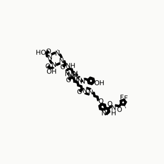 C[C@H]1CC(F)(F)CC1C(=O)CNC(=O)c1ccnc2ccc(OCCCCN3CCN(C(=O)CCCCCC(=O)N/N=C\C(C/C=N/NCN/N=C/c4ccc(O)cc4)NC(=O)CN4CCN(C)CCN(CC(=O)O)CCN(CC(=O)O)CC4)CC3)cc12